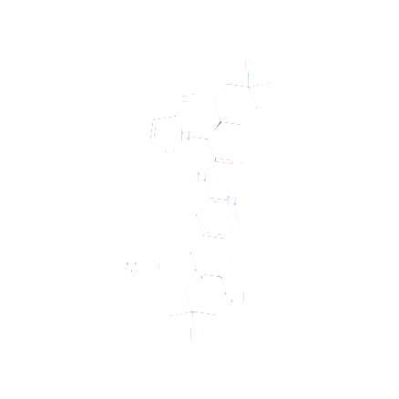 CCC1C=CON1[C@H](C(=O)Nc1cc([C@@H](COC)N2CC(F)(F)CNC2=O)ccn1)C1CCC(F)(F)CC1